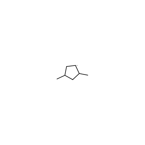 CC1[CH]CC(C)C1